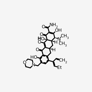 C=C/C(=C\CC)c1cc(CN2CCOCC2)c(O)c2c1C[C@H]1C[C@H]3[C@H](N(C)C)C(O)=C(C(N)=O)C(=O)[C@@]3(O)C(O)=C1C2=O